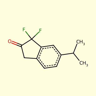 CC(C)c1ccc2c(c1)C(F)(F)C(=O)C2